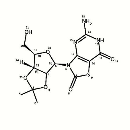 CC1(C)OC2[C@H](n3c(=O)sc4c(=O)[nH]c(N)nc43)O[C@H](CO)[C@H]2O1